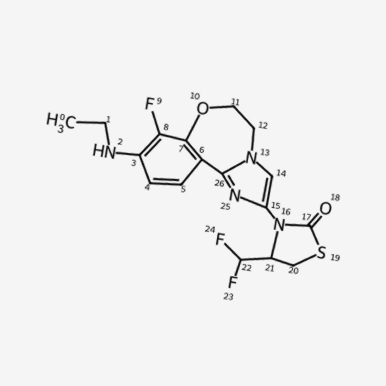 CCNc1ccc2c(c1F)OCCn1cc(N3C(=O)SCC3C(F)F)nc1-2